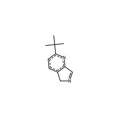 CC(C)(C)c1ccc2c(n1)C=NC2